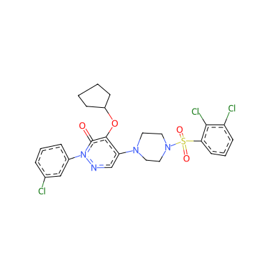 O=c1c(OC2CCCC2)c(N2CCN(S(=O)(=O)c3cccc(Cl)c3Cl)CC2)cnn1-c1cccc(Cl)c1